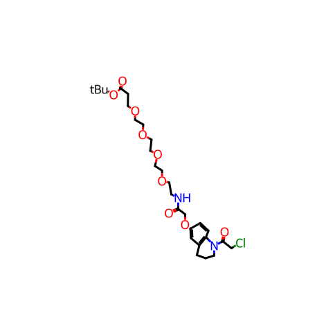 CC(C)(C)OC(=O)CCOCCOCCOCCOCCNC(=O)COc1ccc2c(c1)CCCN2C(=O)CCl